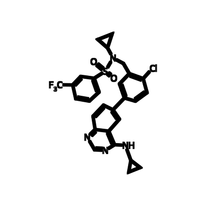 O=S(=O)(c1cccc(C(F)(F)F)c1)N(Cc1cc(-c2ccc3ncnc(NC4CC4)c3c2)ccc1Cl)C1CC1